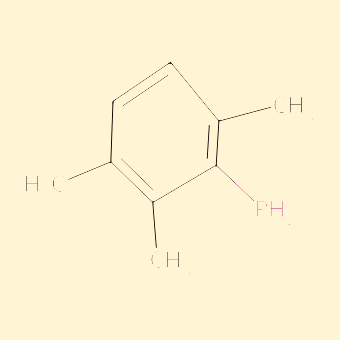 Cc1ccc(C)c(P)c1C